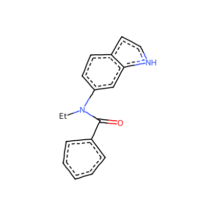 CCN(C(=O)c1ccccc1)c1ccc2cc[nH]c2c1